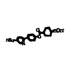 CCCCCCCCC1CCC(C(=O)Oc2ccc(-c3ccc(CCCC)cn3)cc2)CC1